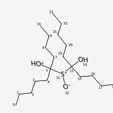 CCCCCC(O)(CCCC)[S+]([O-])C(O)(CCCC)CCCCC